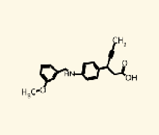 CC#CC(CC(=O)O)c1ccc(NCc2cccc(OC)c2)cc1